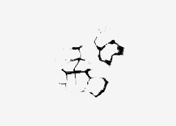 CC(N)C(=O)C(C)(C(=O)C1CCCN1O)C(N)(N)C(=O)O.NCc1ccccc1